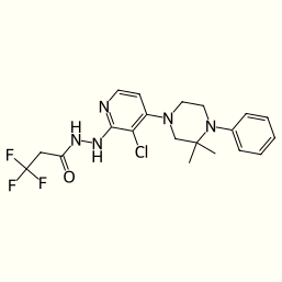 CC1(C)CN(c2ccnc(NNC(=O)CC(F)(F)F)c2Cl)CCN1c1ccccc1